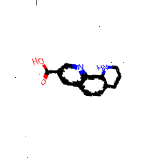 O=C(O)c1cnc2c3c(ccc2c1)C=CCN3